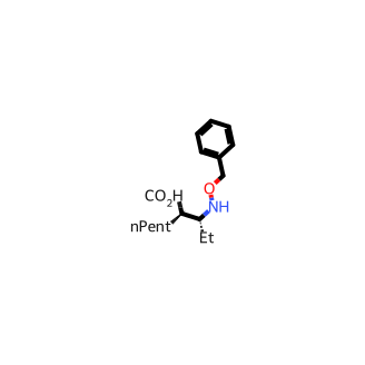 CCCCC[C@@H](C(=O)O)[C@@H](CC)NOCc1ccccc1